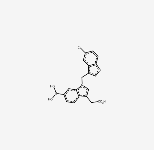 O=C(O)Cc1cn(Cc2csc3ccc(Cl)cc23)c2cc(B(O)O)ccc12